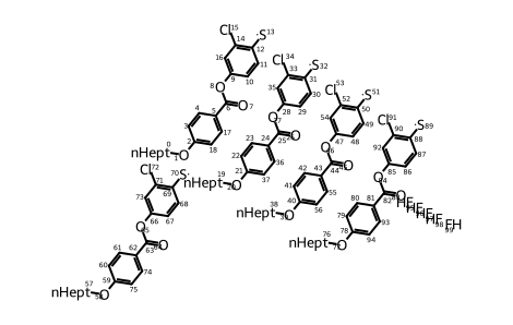 CCCCCCCOc1ccc(C(=O)Oc2ccc([S])c(Cl)c2)cc1.CCCCCCCOc1ccc(C(=O)Oc2ccc([S])c(Cl)c2)cc1.CCCCCCCOc1ccc(C(=O)Oc2ccc([S])c(Cl)c2)cc1.CCCCCCCOc1ccc(C(=O)Oc2ccc([S])c(Cl)c2)cc1.CCCCCCCOc1ccc(C(=O)Oc2ccc([S])c(Cl)c2)cc1.F.F.F.F.F